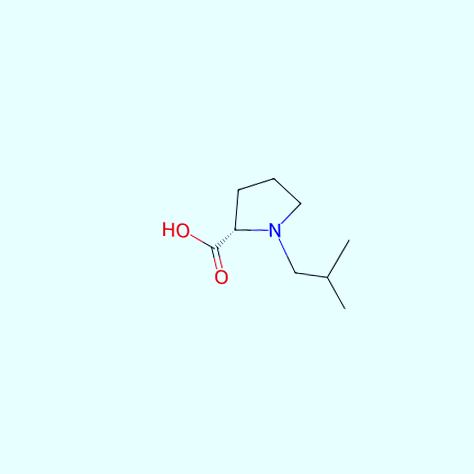 CC(C)CN1CCC[C@H]1C(=O)O